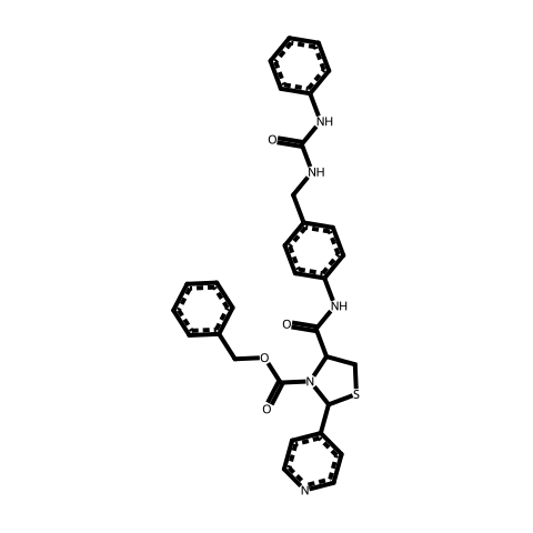 O=C(NCc1ccc(NC(=O)C2CSC(c3ccncc3)N2C(=O)OCc2ccccc2)cc1)Nc1ccccc1